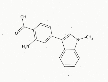 Cn1cc(-c2ccc(C(=O)O)c(N)c2)c2ccccc21